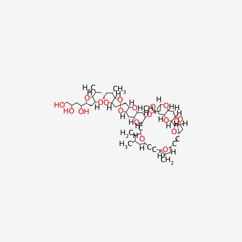 C=C1C[C@@H]2CC[C@@]34C[C@H]5O[C@H]6[C@@H](O3)[C@H]3O[C@H](CC[C@@H]3O[C@H]6[C@H]5O4)CC(=O)O[C@@H]3[C@@H](C)[C@@H]4O[C@@H]5C[C@]6(C[C@@H]7O[C@]8(C[C@H](C)[C@@H]9O[C@H]([C@@H](O)C[C@@H](O)CO)C[C@@H]9O8)C[C@H](C)[C@@H]7O6)O[C@@H]5C[C@@H]4O[C@H]3C[C@H]3O[C@@H](CC[C@@H]1O2)C[C@@H](C)C3=C